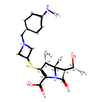 CN[C@H]1CC[C@@H](CN2CC(SC3=C(C(=O)O)N4C(=O)[C@H]([C@@H](C)O)[C@H]4[C@H]3C)C2)CC1